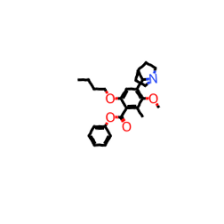 CCCCOc1cc(C2C3CCN2CC3)c(OC)c(C)c1C(=O)Oc1ccccc1